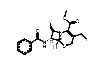 COC(=O)C1=C(CI)CS[C@@H]2[C@H](NC(=O)c3ccccc3)C(=O)N12